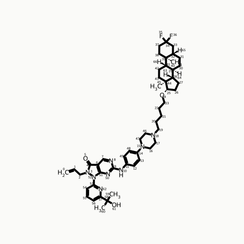 C=CCn1c(=O)c2cnc(Nc3ccc(N4CCN(CCCCCO[C@H]5CC[C@H]6[C@@H]7CC[C@H]8CC(F)(F)CC[C@]8(C)[C@H]7CC[C@]56C)CC4)cc3)nc2n1-c1cccc(C(C)(C)O)n1